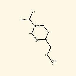 CC(C)N1CCC(CCO)CC1